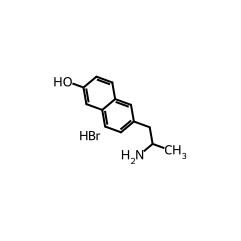 Br.CC(N)Cc1ccc2cc(O)ccc2c1